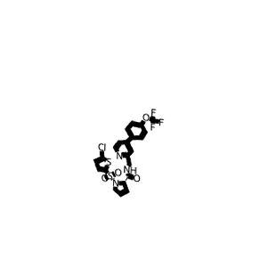 O=C(NCc1cc(-c2ccc(OC(F)(F)F)cc2)ccn1)[C@@H]1C=CCN1S(=O)(=O)c1ccc(Cl)s1